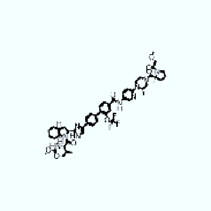 COCC(=O)N1CCC[C@@]1(C)C(=O)N1CCN(c2ccc(NC(=O)c3ccc(-c4ccc(-c5c[nH]c([C@@H]6C[C@@H]7CCCC[C@@H]7N6C(=O)[C@@H](NC(=O)OC)C(C)C)n5)cc4)c(OC(F)(F)F)c3)cn2)[C@H](C)C1